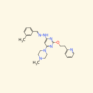 Cc1cccc(C=NNc2cc(N3CCN(C)CC3)nc(OCCc3ccccn3)n2)c1